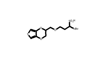 CCCCC(CCOCC1COc2cscc2O1)S(=O)(=O)O